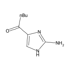 CCCCC(=O)c1c[nH]c(N)n1